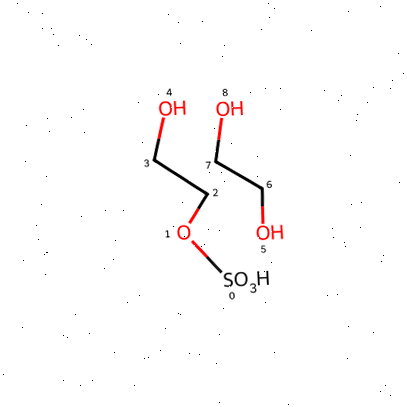 O=S(=O)(O)OCCO.OCCO